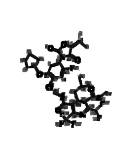 CC(C)=C1OC(=O)N(c2cc(OC3CCCC3)c(Cl)cc2F)C1=O.CSC(=O)c1c(C(F)F)nc(C(F)(F)F)c(C(=O)SC)c1CC(C)C